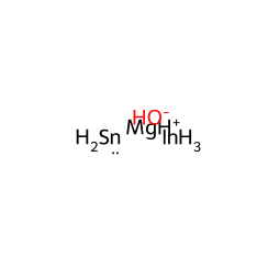 [InH3].[MgH+].[OH-].[SnH2]